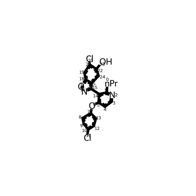 CCCc1nccc(Oc2ccc(Cl)cc2)c1-c1noc2cc(Cl)c(O)cc12